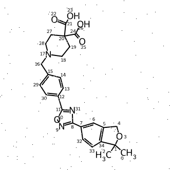 CC1(C)OCc2cc(-c3noc(-c4ccc(CN5CCC(C(=O)O)(C(=O)O)CC5)cc4)n3)ccc21